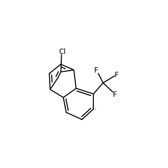 FC(F)(F)c1[c]ccc2c3ccc(c(Cl)c3)c12